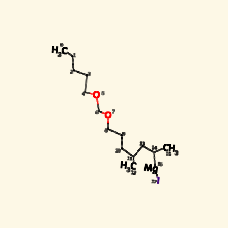 CCCCCOCOCCCC(C)C[CH](C)[Mg][I]